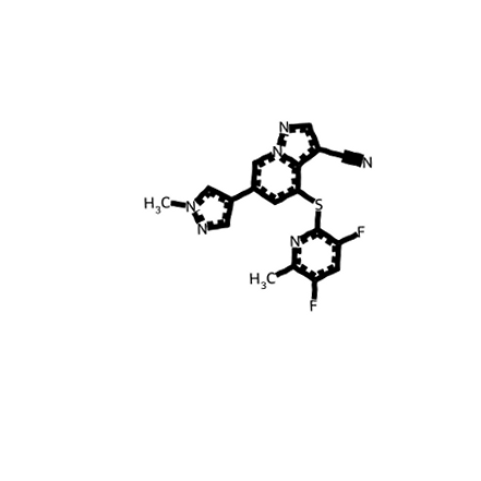 Cc1nc(Sc2cc(-c3cnn(C)c3)cn3ncc(C#N)c23)c(F)cc1F